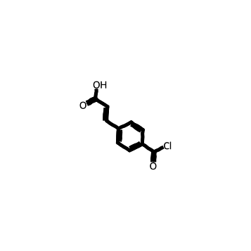 O=C(O)C=Cc1ccc(C(=O)Cl)cc1